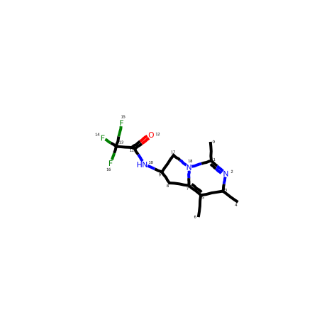 CC1=NC(C)C(C)=C2CC(NC(=O)C(F)(F)F)CN12